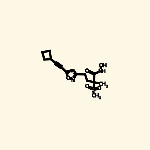 CC(CCc1cc(C#CC2CCC2)on1)(C(=O)NO)S(C)(=O)=O